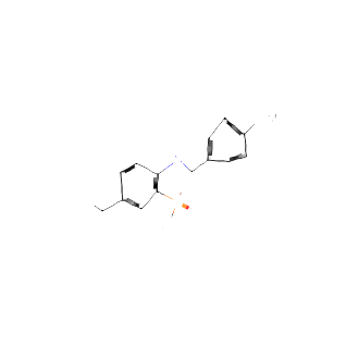 COc1ccc(CNc2ccc(CC(=O)O)cc2P(C)(C)=O)cc1